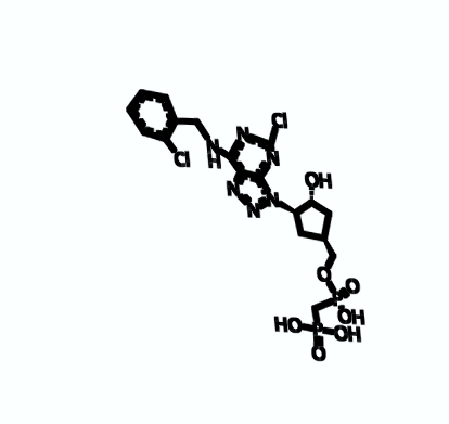 O=P(O)(O)CP(=O)(O)OC[C@@H]1C[C@@H](O)[C@H](n2nnc3c(NCc4ccccc4Cl)nc(Cl)nc32)C1